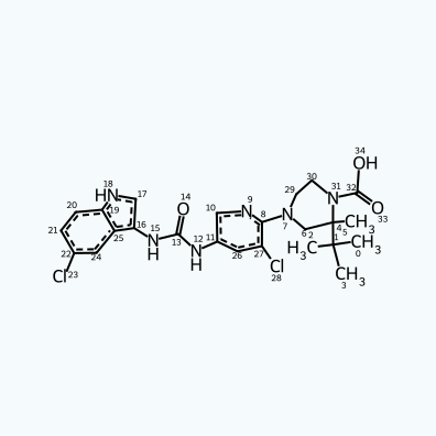 CC(C)(C)C1(C)CN(c2ncc(NC(=O)Nc3c[nH]c4ccc(Cl)cc34)cc2Cl)CCN1C(=O)O